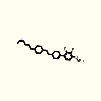 C/C=C\CCCC1CCC(CCC2CC=C(c3ccc(OCCCC)c(F)c3F)CC2)CC1